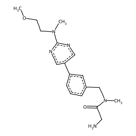 COCCN(C)c1ncc(-c2cccc(CN(C)C(=O)CN)c2)cn1